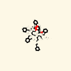 CO[C@H]1OC(COC(=O)c2ccccc2)[C@H](OC2OC(COC(=O)c3ccccc3)C(O[Si](C)(C)C(C)(C)C)[C@H](OC(=O)c3ccccc3)[C@@H]2N2C(=O)c3ccccc3C2=O)C(OC(=O)c2ccccc2)[C@H]1N1C(=O)c2ccccc2C1=O